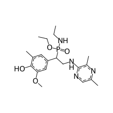 CCNP(=O)(OCC)C(CNc1ncc(C)nc1C)c1cc(C)c(O)c(OC)c1